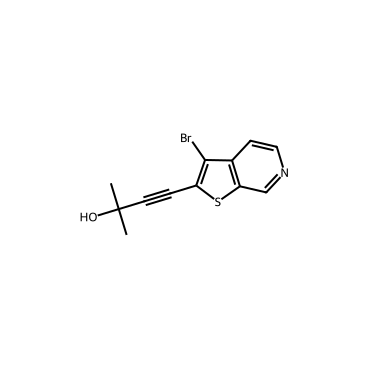 CC(C)(O)C#Cc1sc2cnccc2c1Br